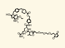 CCOc1nc(N)c2nc(O)n(Cc3ccc(CN4CCN(C(=O)OCc5ccc(NC(=O)[C@H](CCCNC(N)=O)NC(=O)[C@@H](NC(=O)CCOCCOCCOCCN6C(=O)C=CC6=O)C(C)C)cc5)CC4)cc3)c2n1